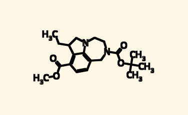 CCC1CN2CCN(C(=O)OC(C)(C)C)Cc3ccc(C(=O)OC)c1c32